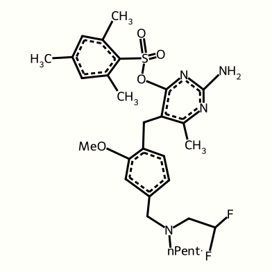 CC[CH]C[CH]N(Cc1ccc(Cc2c(C)nc(N)nc2OS(=O)(=O)c2c(C)cc(C)cc2C)c(OC)c1)CC(F)F